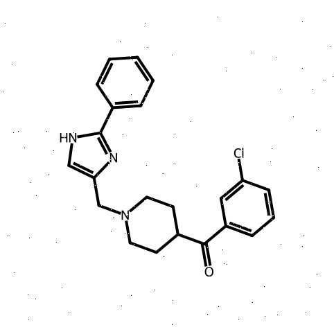 O=C(c1cccc(Cl)c1)C1CCN(Cc2c[nH]c(-c3ccccc3)n2)CC1